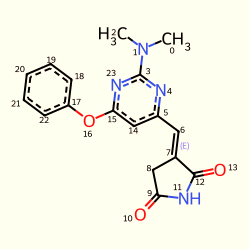 CN(C)c1nc(/C=C2\CC(=O)NC2=O)cc(Oc2ccccc2)n1